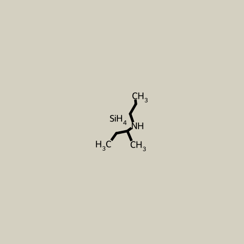 CCCNC(C)CC.[SiH4]